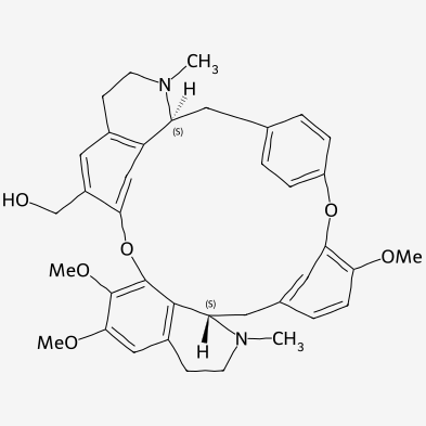 COc1ccc2cc1Oc1ccc(cc1)C[C@H]1c3cc(c(CO)cc3CCN1C)Oc1c(OC)c(OC)cc3c1[C@H](C2)N(C)CC3